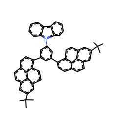 CC(C)(C)c1cc2ccc3ccc(-c4cc(-c5ccc6ccc7cc(C(C)(C)C)cc8ccc5c6c78)cc(-n5c6ccccc6c6ccccc65)c4)c4ccc(c1)c2c34